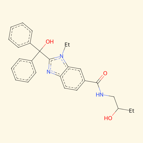 CCC(O)CNC(=O)c1ccc2nc(C(O)(c3ccccc3)c3ccccc3)n(CC)c2c1